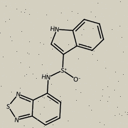 [O-][S+](Nc1cccc2nsnc12)c1c[nH]c2ccccc12